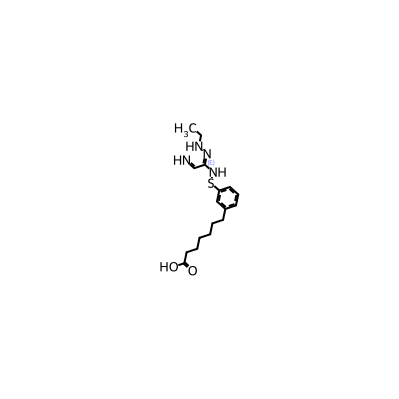 CCN/N=C(\C=N)NSc1cccc(CCCCCCC(=O)O)c1